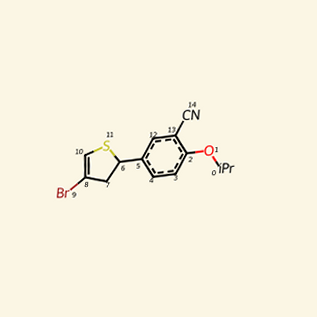 CC(C)Oc1ccc(C2CC(Br)=CS2)cc1C#N